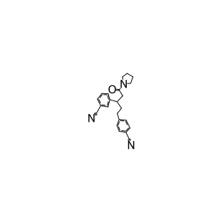 N#Cc1ccc(CCC(CC(=O)N2CCCC2)c2cccc(C#N)c2)cc1